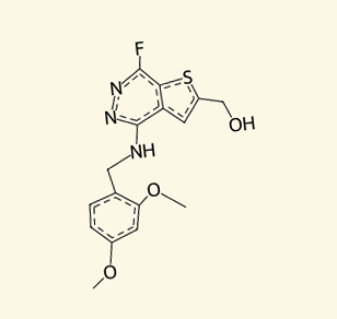 COc1ccc(CNc2nnc(F)c3sc(CO)cc23)c(OC)c1